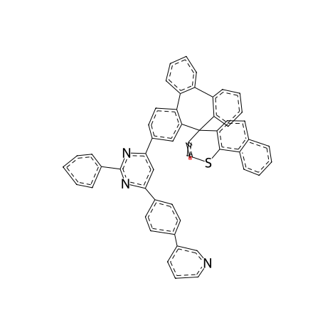 c1ccc(-c2nc(-c3ccc(-c4cccnc4)cc3)cc(-c3ccc4c(c3)C3(c5ccccc5Sc5c3ccc3ccccc53)c3ccccc3-c3ccccc3-4)n2)cc1